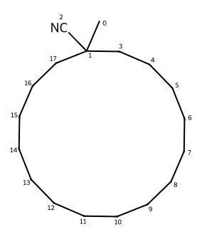 CC1(C#N)CCCCCCCCCCCCCCC1